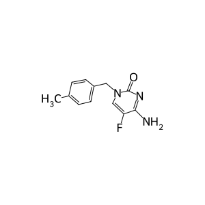 Cc1ccc(Cn2cc(F)c(N)nc2=O)cc1